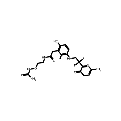 CC1=CCC(=O)C(C(F)(F)CNc2ccc(C#N)c(CC(=O)NCCONC(=N)N)c2F)=N1